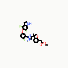 CCOC(=O)Cc1cccc2c1OCC2(C)c1cn(C)c(-c2cc(Oc3c(F)cc4[nH]ccc4c3F)ccc2F)n1